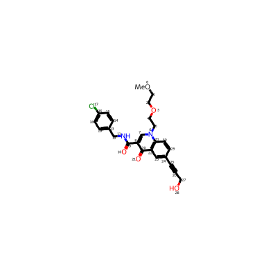 COCCOCCn1cc(C(=O)NCc2ccc(Cl)cc2)c(=O)c2cc(C#CCO)ccc21